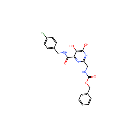 O=C(NCc1nc(O)c(O)c(C(=O)NCc2ccc(Cl)cc2)n1)OCc1ccccc1